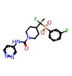 C[C@](F)(C1CCN(C(=O)Nc2ccnnc2)CC1)S(=O)(=O)c1cccc(F)c1